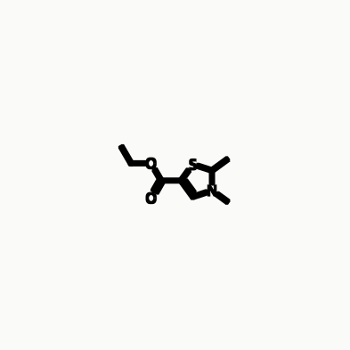 CCOC(=O)C1=CN(C)C(C)S1